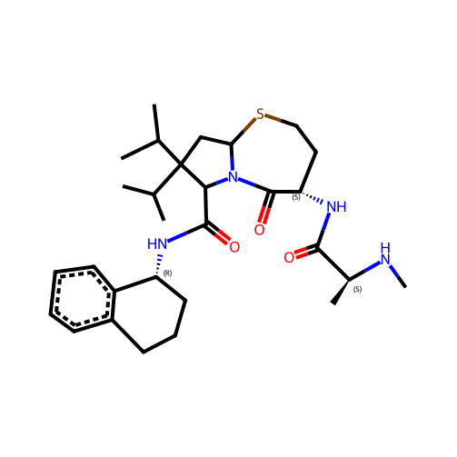 CN[C@@H](C)C(=O)N[C@H]1CCSC2CC(C(C)C)(C(C)C)C(C(=O)N[C@@H]3CCCc4ccccc43)N2C1=O